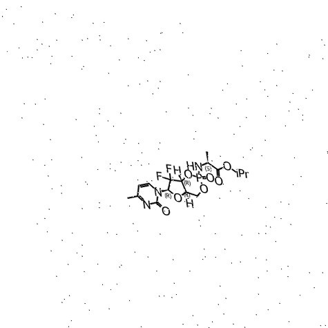 Cc1ccn([C@@H]2O[C@@H]3COP(=O)(N[C@@H](C)C(=O)OC(C)C)O[C@H]3C2(F)F)c(=O)n1